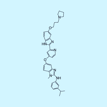 CC(C)c1cccc(Nc2nc3cc(Oc4ccnc(-c5nc6cc(OCCCN7CCCC7)ccc6[nH]5)c4)ccc3n2C)c1